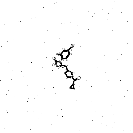 O=C(C1CC1)N1CCC(Cc2n[nH]c(=O)n2-c2ccc(Br)cc2F)C1